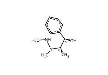 CNN(C)[C@H](C)[C@H](O)c1ccccc1